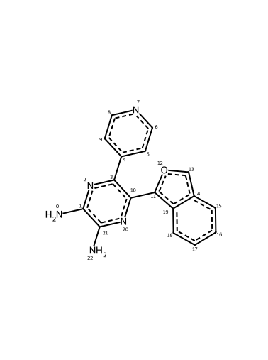 Nc1nc(-c2ccncc2)c(-c2occ3ccccc23)nc1N